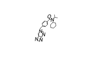 CC(C)N(C(=O)c1ccc(Cn2cnc3ncnc-3c2)cc1)C1CCCCC1